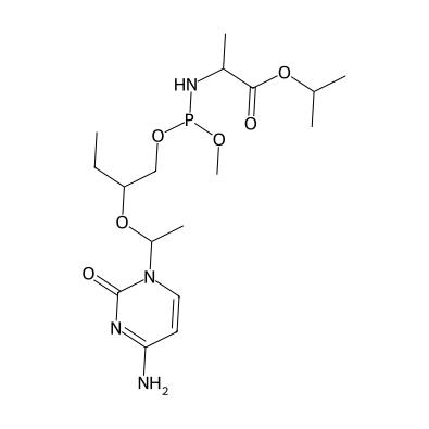 CCC(COP(NC(C)C(=O)OC(C)C)OC)OC(C)n1ccc(N)nc1=O